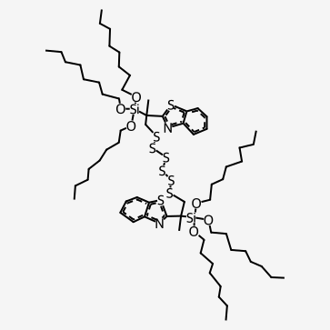 CCCCCCCCO[Si](OCCCCCCCC)(OCCCCCCCC)C(C)(CSSSSSSCC(C)(c1nc2ccccc2s1)[Si](OCCCCCCCC)(OCCCCCCCC)OCCCCCCCC)c1nc2ccccc2s1